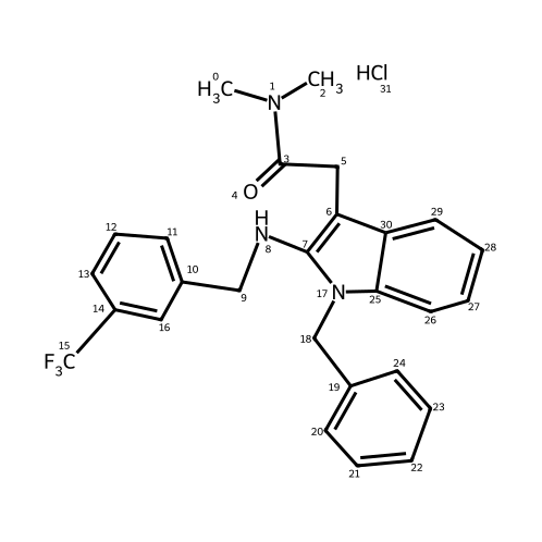 CN(C)C(=O)Cc1c(NCc2cccc(C(F)(F)F)c2)n(Cc2ccccc2)c2ccccc12.Cl